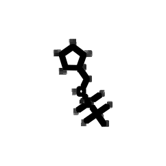 CC(C)(C)[Si](C)(C)OC[C]1CCCC1